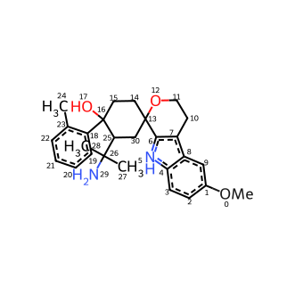 COc1ccc2[nH]c3c(c2c1)CCOC31CCC(O)(c2ccccc2C)C(C(C)(C)N)C1